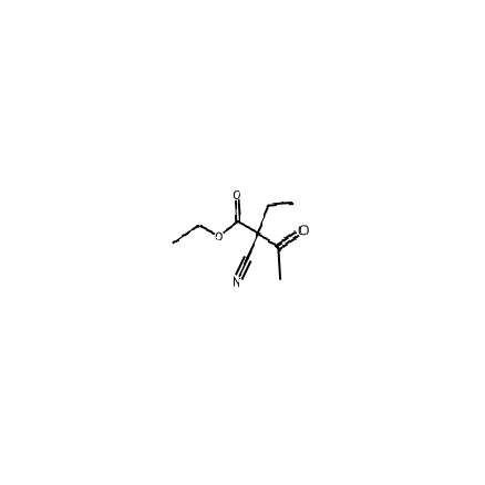 CCOC(=O)C(C#N)(CC)C(C)=O